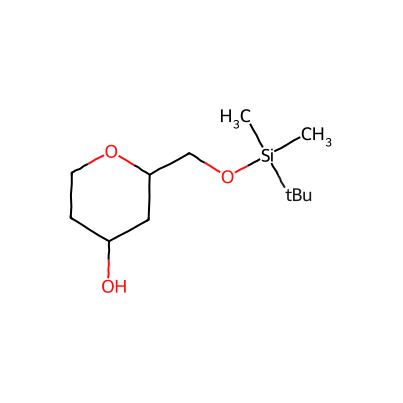 CC(C)(C)[Si](C)(C)OCC1CC(O)CCO1